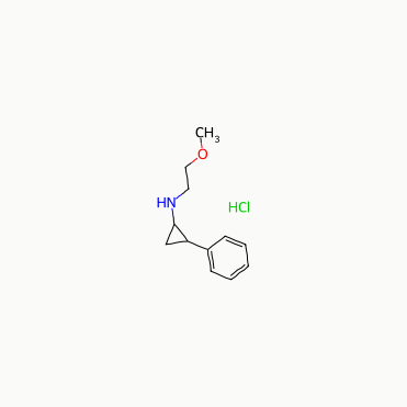 COCCNC1CC1c1ccccc1.Cl